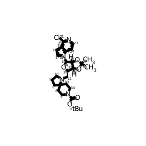 CC(C)(C)OC(=O)N1CCC2(CCCN2C[C@H]2OC(n3ccc4c(Cl)nccc43)[C@@H]3OC(C)(C)O[C@H]23)CC1